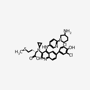 CSCC[C@@H](C(=O)O)N(c1cnc2ccc(-c3cc(Cl)c(O)c(Cl)c3)cc2c1Nc1ccc(N2CCCC(N)C2)nc1)C1CC1